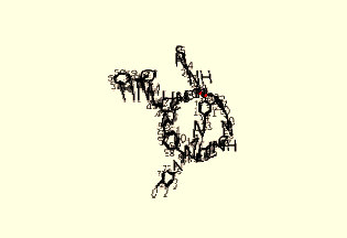 Cc1ccc(/C=N/CCNCC/N=C/c2ccc(/C=N/CCNCCN=S)c(-c3cc4ccc3/C=N/CCNCC(CCCCNC(=O)c3ccccc3)/N=C/c3ccc(cc3)/C=N/CCNCC/N=C/4)c2)cc1